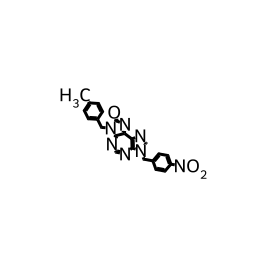 Cc1ccc(Cn2c3ncnc4c(ncn4Cc4ccc([N+](=O)[O-])cc4)c-3nc2=O)cc1